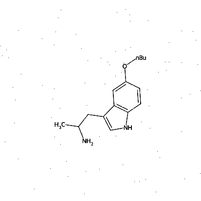 CCCCOc1ccc2[nH]cc(CC(C)N)c2c1